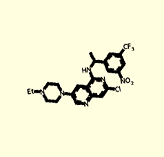 CCN1CCN(c2cnc3cc(Cl)nc(NC(C)c4cc([N+](=O)[O-])cc(C(F)(F)F)c4)c3c2)CC1